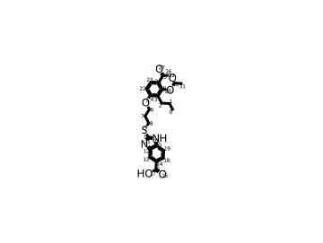 CCCc1c(OCCCSc2nc3cc(C(=O)O)ccc3[nH]2)ccc(C(C)=O)c1OC(C)=O